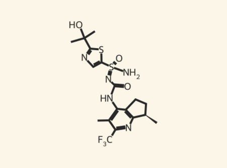 Cc1c(C(F)(F)F)nc2c(c1NC(=O)N=S(N)(=O)c1cnc(C(C)(C)O)s1)CC[C@H]2C